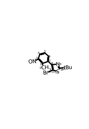 Cc1c(N=O)cccc1-c1nc(C(C)(C)C)sc1Br